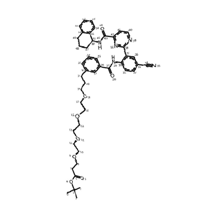 CC(C)(C)OC(=O)CCOCCOCCOCCOCCCc1cccc(C(=O)Nc2ccc(C#N)cc2-c2nccc(C(=O)N[C@H]3CCCc4ccccc43)n2)c1